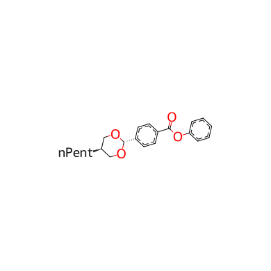 CCCCC[C@H]1CO[C@H](c2ccc(C(=O)Oc3ccccc3)cc2)OC1